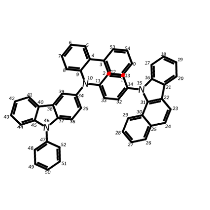 c1ccc(-c2ccccc2N(c2ccc(-n3c4ccccc4c4ccc5ccccc5c43)cc2)c2ccc3c(c2)c2ccccc2n3-c2ccccc2)cc1